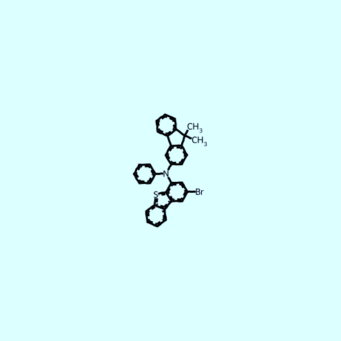 CC1(C)c2ccccc2-c2cc(N(c3ccccc3)c3cc(Br)cc4c3sc3ccccc34)ccc21